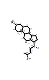 CC(C)[C@@H](C)/C=C/[C@@H](C)C1CCC2C3CCC4CC(O)CC[C@]4(C)C3CC[C@@]21C